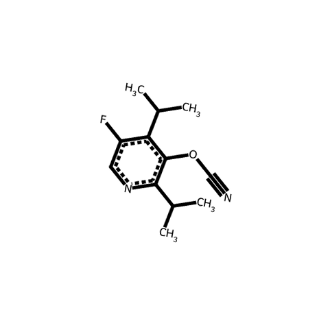 CC(C)c1ncc(F)c(C(C)C)c1OC#N